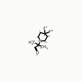 CC(C)(C=O)N1CCC(F)(F)CC1